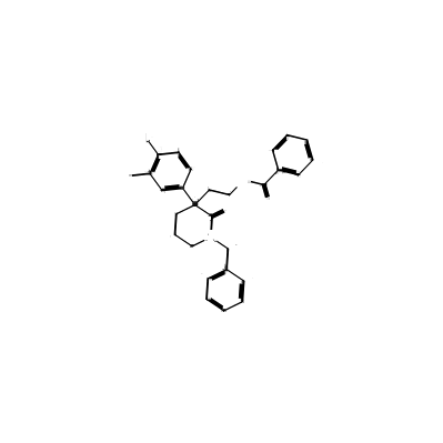 O=C(OCCC1(c2ccc(Cl)c(Cl)c2)CCCN(Cc2ccccc2)C1=O)c1ccccc1